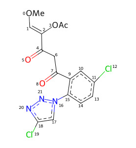 CO/C=C(\OC(C)=O)C(=O)CC(=O)c1cc(Cl)ccc1-n1cc(Cl)nn1